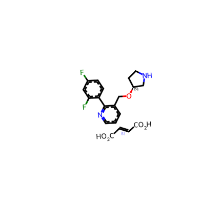 Fc1ccc(-c2ncccc2CO[C@H]2CCNC2)c(F)c1.O=C(O)/C=C/C(=O)O